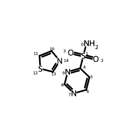 NS(=O)(=O)c1ccncn1.c1cscn1